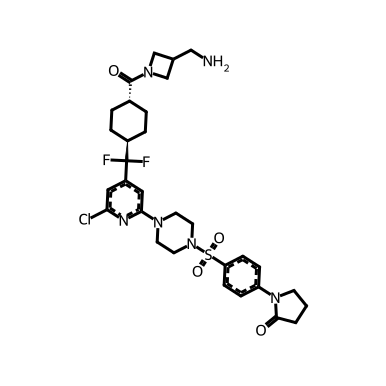 NCC1CN(C(=O)[C@H]2CC[C@H](C(F)(F)c3cc(Cl)nc(N4CCN(S(=O)(=O)c5ccc(N6CCCC6=O)cc5)CC4)c3)CC2)C1